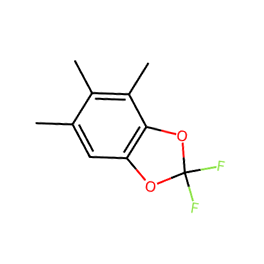 Cc1cc2c(c(C)c1C)OC(F)(F)O2